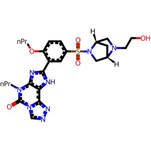 CCCOc1ccc(S(=O)(=O)N2C[C@@H]3C[C@H]2CN3CCO)cc1-c1nc2c([nH]1)c1nncn1c(=O)n2CCC